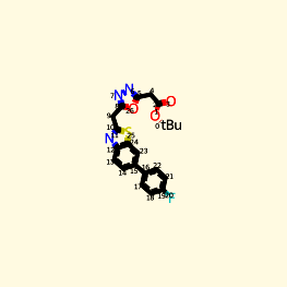 CC(C)(C)OC(=O)Cc1nnc(Cc2nc3ccc(-c4ccc(F)cc4)cc3s2)o1